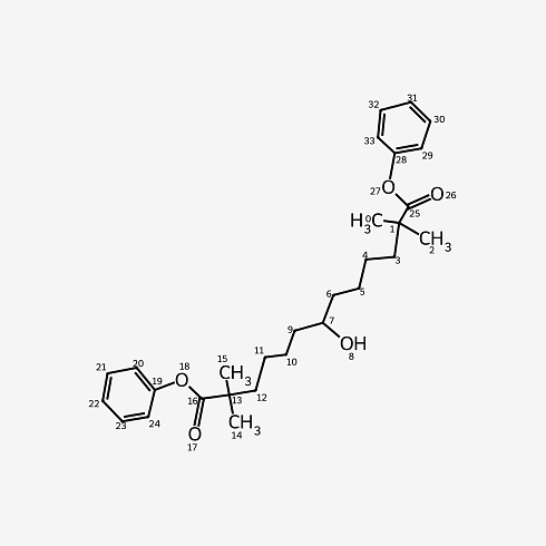 CC(C)(CCCCC(O)CCCCC(C)(C)C(=O)Oc1ccccc1)C(=O)Oc1ccccc1